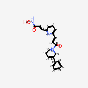 O=C(/C=C/c1cccc(/C=C/C(=O)N2CCC=C(c3ccccc3)C2)n1)NO